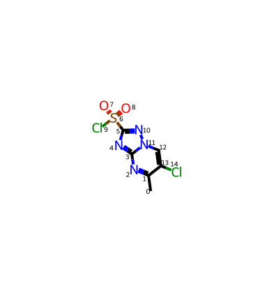 Cc1nc2nc(S(=O)(=O)Cl)nn2cc1Cl